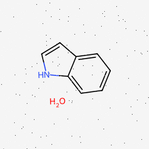 O.c1ccc2[nH]ccc2c1